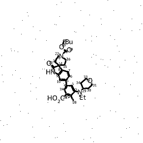 CCN(c1cc(-c2ccc3c(c2)NC(=O)C32CCN(C(=O)OC(C)(C)C)CC2)cc(C(=O)O)c1C)C1CCOCC1